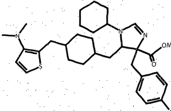 COC(=O)C1(Cc2ccc(Cl)cc2)N=CN(C2CCCCC2)C1CC1CCC(Cc2sccc2N(C)C)CC1